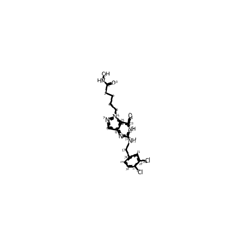 O=C(CCCCn1ncc2nc(NCc3ccc(Cl)c(Cl)c3)[nH]c(=O)c21)NO